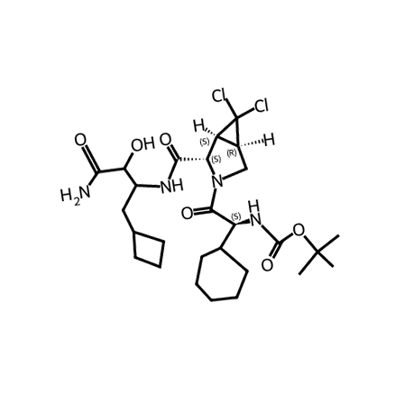 CC(C)(C)OC(=O)N[C@H](C(=O)N1C[C@H]2[C@@H]([C@H]1C(=O)NC(CC1CCC1)C(O)C(N)=O)C2(Cl)Cl)C1CCCCC1